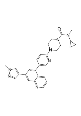 CN(C(=O)N1CCN(c2ccc(-c3cc(-c4cnn(C)c4)cc4ncccc34)cn2)CC1)C1CC1